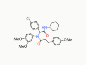 COc1ccc(CCC(=O)N(c2ccc(OC)c(OC)c2)C(C(=O)NC2CCCCC2)c2ccc(Cl)cc2)cc1